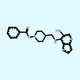 Nc1cnc2ccsc2c1NCC1CCN(OC(=O)c2ccccc2)CC1